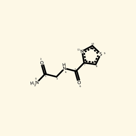 NC(=O)CNC(=O)c1cscn1